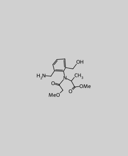 COCC(=O)N(c1c(CN)cccc1CO)C(C)C(=O)OC